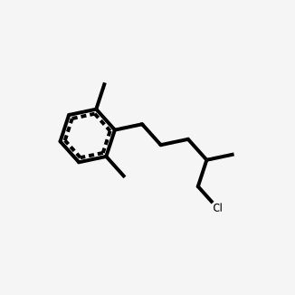 Cc1cccc(C)c1CCCC(C)CCl